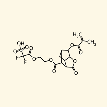 C=C(C)C(=O)OC1C2CC3C1OC(=O)C3C2C(=O)OCCOC(=O)C(F)(F)S(=O)(=O)O